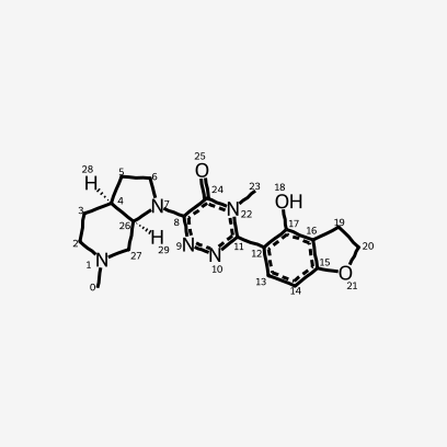 CN1CC[C@H]2CCN(c3nnc(-c4ccc5c(c4O)CCO5)n(C)c3=O)[C@H]2C1